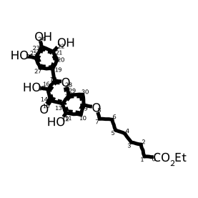 CCOC(=O)CCCCCCCOc1cc(O)c2c(=O)c(O)c(-c3cc(O)c(O)c(O)c3)oc2c1